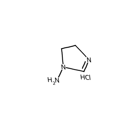 Cl.NN1C=NCC1